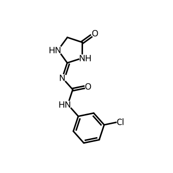 O=C1CNC(=NC(=O)Nc2cccc(Cl)c2)N1